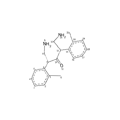 Cc1ccccc1C(CN)C(=O)C(CN)c1ccccc1C